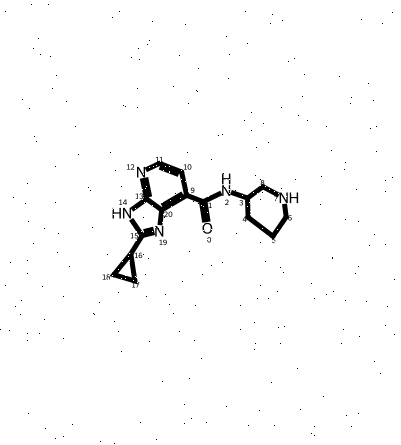 O=C(NC1CCCNC1)c1ccnc2[nH]c(C3CC3)nc12